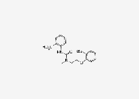 CN(CCOc1ccccc1C(C)(C)C)C(=O)Nc1ccccc1C(=O)O